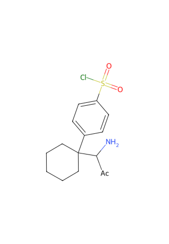 CC(=O)C(N)C1(c2ccc(S(=O)(=O)Cl)cc2)CCCCC1